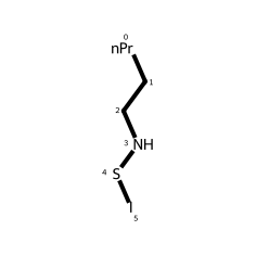 CCCCCNSI